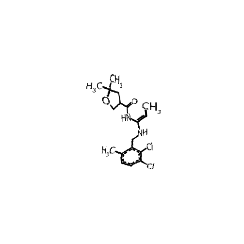 CC=C(NCc1c(C)ccc(Cl)c1Cl)NC(=O)C1COC(C)(C)C1